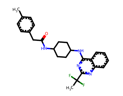 Cc1ccc(CC(=O)NC2CCC(Nc3nc(C(C)(F)F)nc4ccccc34)CC2)cc1